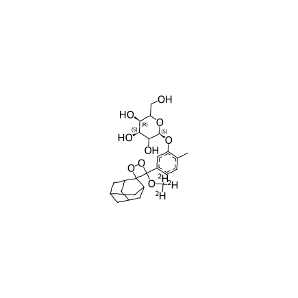 [2H]C([2H])([2H])OC1(c2ccc(C)c(O[C@@H]3OC(CO)[C@H](O)[C@H](O)C3O)c2)OOC12C1CC3CC(C1)CC2C3